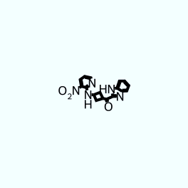 O=C(c1nc2ccccc2[nH]1)C1CC(Nc2ncccc2[N+](=O)[O-])C1